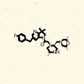 C[C@@H]1CN(CC(=O)N2CC(C)(C)c3ncc(Cc4ccc(F)cc4)cc32)[C@@H](CN2C[C@@H](C)O[C@@H](C)C2)CN1